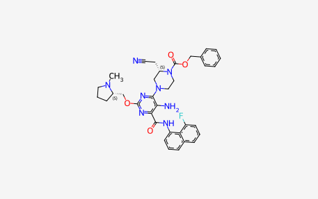 CN1CCC[C@H]1COc1nc(C(=O)Nc2cccc3cccc(F)c23)c(N)c(N2CCN(C(=O)OCc3ccccc3)[C@@H](CC#N)C2)n1